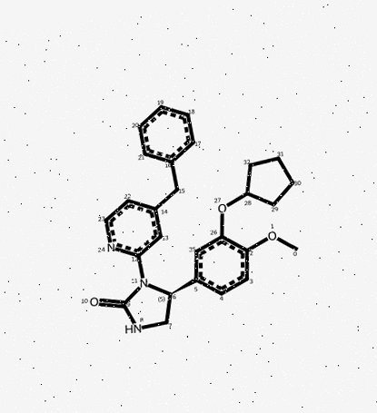 COc1ccc([C@H]2CNC(=O)N2c2cc(Cc3ccccc3)ccn2)cc1OC1CCCC1